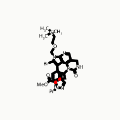 COC(=O)NC1CC(N2C(=O)NCc3cnc4c(c(-c5ccc6c(cnn6C(C)C)c5)c(Br)n4COCC[Si](C)(C)C)c32)C1